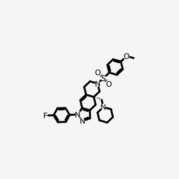 COc1ccc(S(=O)(=O)N2CCC3=Cc4c(cnn4-c4ccc(F)cc4)C[C@]3(CN3CCCCC3)C2)cc1